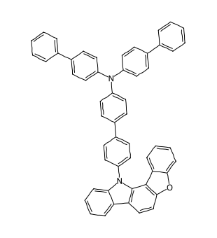 c1ccc(-c2ccc(N(c3ccc(-c4ccccc4)cc3)c3ccc(-c4ccc(-n5c6ccccc6c6ccc7oc8ccccc8c7c65)cc4)cc3)cc2)cc1